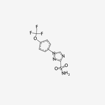 NS(=O)(=O)c1ncn(-c2ccc(OC(F)(F)F)cc2)n1